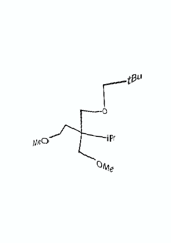 COCC(COC)(COCC(C)(C)C)C(C)C